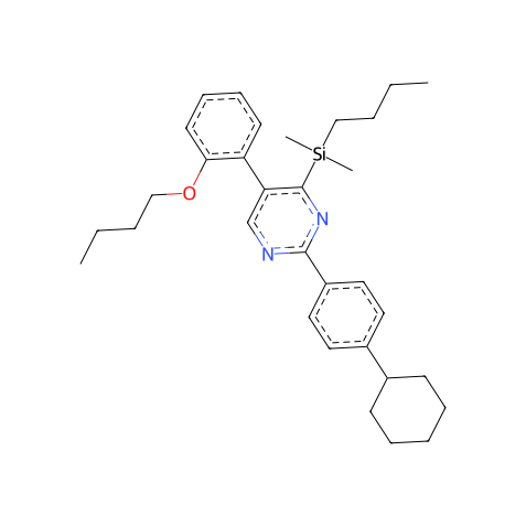 CCCCOc1ccccc1-c1cnc(-c2ccc(C3CCCCC3)cc2)nc1[Si](C)(C)CCCC